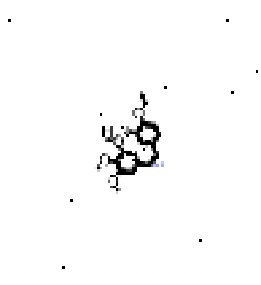 CCOc1ccc(/C=C\c2cc(OC)c(OC)c(OC)c2)cc1N